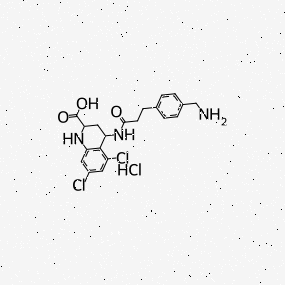 Cl.NCc1ccc(CCC(=O)NC2CC(C(=O)O)Nc3cc(Cl)cc(Cl)c32)cc1